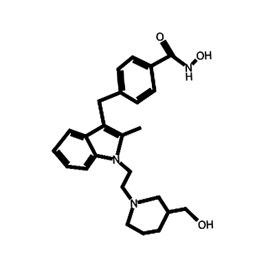 Cc1c(Cc2ccc(C(=O)NO)cc2)c2ccccc2n1CCN1CCCC(CO)C1